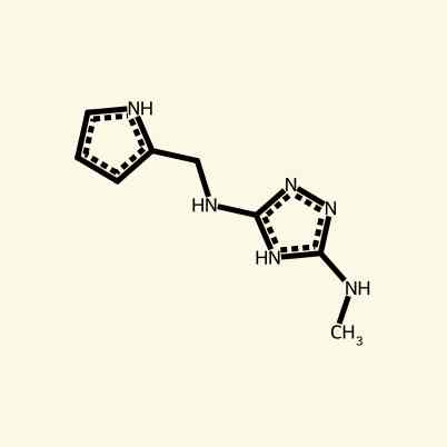 CNc1nnc(NCc2ccc[nH]2)[nH]1